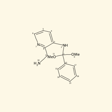 COC(Nc1cccnc1CN)(OC)c1ccccc1